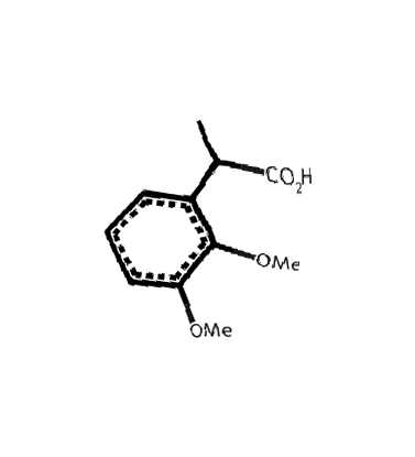 COc1cccc(C(C)C(=O)O)c1OC